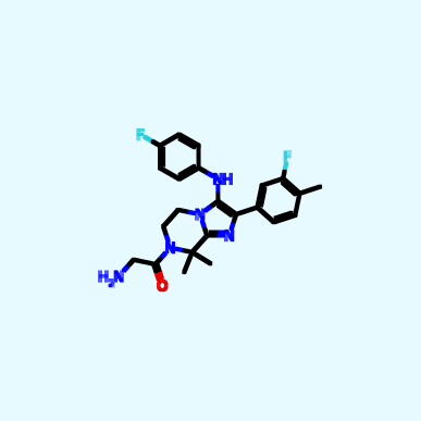 Cc1ccc(-c2nc3n(c2Nc2ccc(F)cc2)CCN(C(=O)CN)C3(C)C)cc1F